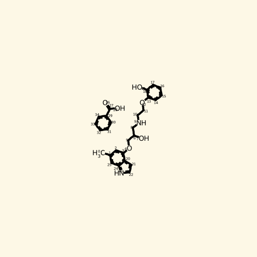 Cc1cc(OCC(O)CNCCOc2ccccc2O)c2cc[nH]c2c1.O=C(O)c1ccccc1